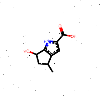 CC1CC(O)c2[nH]c(C(=O)O)cc21